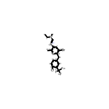 CCN(C)/C=N/c1cc(Br)c(Cc2ccc(Cl)c(C(F)(F)F)c2)nc1C